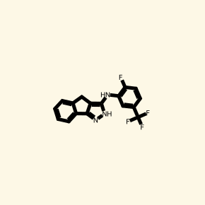 Fc1ccc(C(F)(F)F)cc1Nc1[nH]nc2c1Cc1ccccc1-2